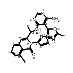 Cc1nnc(-c2c(N)ncnc2NC(C)c2cc3cccc(C)c3c(=O)n2-c2cc[nH]n2)o1